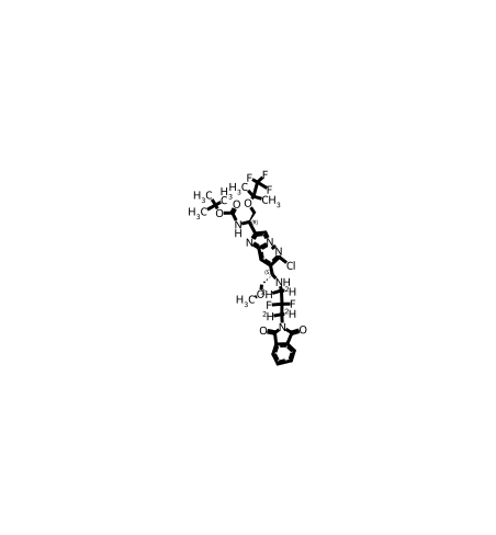 [2H]C([2H])(N[C@H](COC)c1cc2nc([C@H](COC(C)(C)C(F)(F)F)NC(=O)OC(C)(C)C)cn2nc1Cl)C(F)(F)C([2H])([2H])N1C(=O)c2ccccc2C1=O